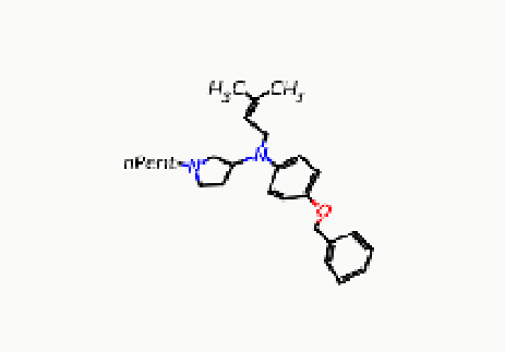 CCCCCN1CCC(N(CC=C(C)C)c2ccc(OCc3ccccc3)cc2)C1